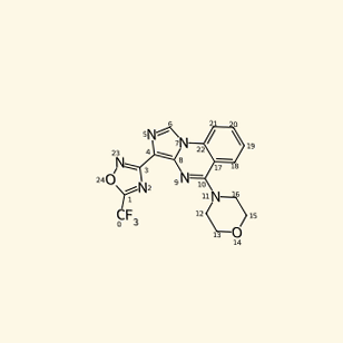 FC(F)(F)c1nc(-c2ncn3c2nc(N2CCOCC2)c2ccccc23)no1